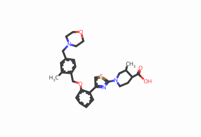 Cc1cc(CN2CCOCC2)ccc1COc1ccccc1-c1csc(N2CCC(C(=O)O)C(C)C2)n1